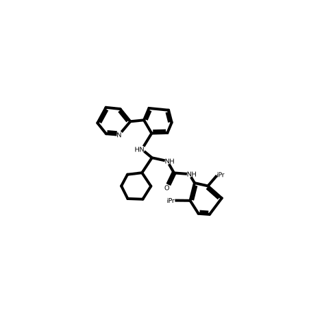 CC(C)c1cccc(C(C)C)c1NC(=O)NC(Nc1ccccc1-c1ccccn1)C1CCCCC1